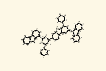 c1ccc(-c2nc(-c3ccc4c(c3)oc3c(-c5ccccc5)cc(-n5c6ccccc6c6ccccc65)cc34)nc(-c3cccc4c3sc3ccccc34)n2)cc1